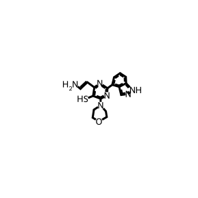 N/C=C/c1nc(-c2cccc3[nH]ncc23)nc(N2CCOCC2)c1S